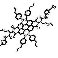 CCCc1ccc(Oc2cc3c4c(cc(Oc5ccc(CCC)cc5)c5c6c(Oc7ccc(CCC)cc7)cc7c8c(cc(Oc9ccc(CCC)cc9)c(c2c45)c86)C(=O)N(C(CCOCC)C(=O)Nc2ccc(C4CO4)o2)C7=O)C(=O)N(C(CCOCC)C(=O)Nc2ccc(C4CO4)o2)C3=O)cc1